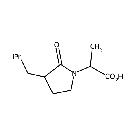 CC(C)CC1CCN(C(C)C(=O)O)C1=O